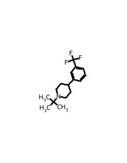 CC(C)(C)N1CCC(c2c[c]cc(C(F)(F)F)c2)CC1